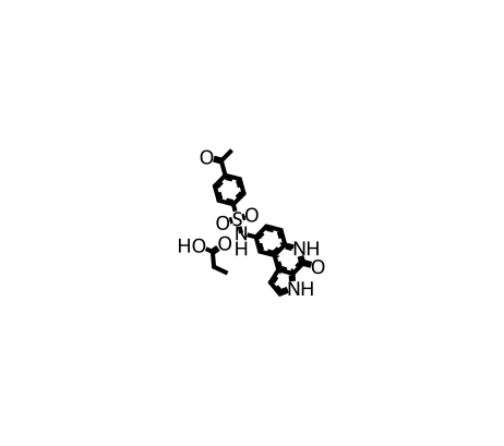 CC(=O)c1ccc(S(=O)(=O)Nc2ccc3[nH]c(=O)c4[nH]ccc4c3c2)cc1.CCC(=O)O